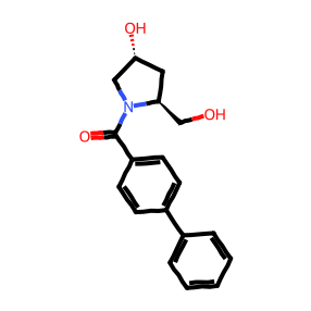 O=C(c1ccc(-c2ccccc2)cc1)N1C[C@H](O)C[C@H]1CO